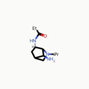 CCC(=O)N[C@H]1CC2CN(C(C)C)C1C2N